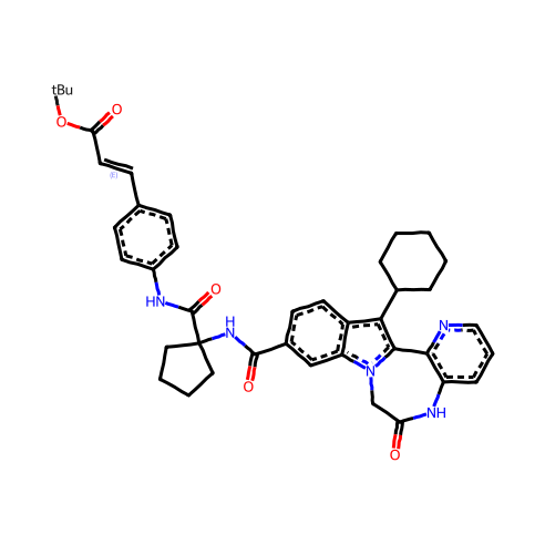 CC(C)(C)OC(=O)/C=C/c1ccc(NC(=O)C2(NC(=O)c3ccc4c(C5CCCCC5)c5n(c4c3)CC(=O)Nc3cccnc3-5)CCCC2)cc1